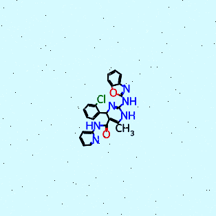 CC1=C(C(=O)Nc2ccccn2)C(c2ccccc2Cl)N=C(Nc2nc3ccccc3o2)N1